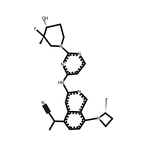 CC(C#N)c1ccc(N2CC[C@H]2C)c2cnc(Nc3ccnc(N4CC[C@@H](O)[C@@](C)(F)C4)n3)cc12